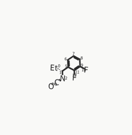 CC[C@@H](N=C=O)c1cccc(F)c1F